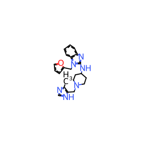 Cc1nc[nH]c1CN1CCC(Nc2nc3ccccc3n2Cc2ccco2)CC1